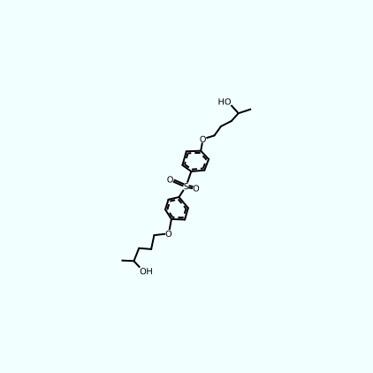 CC(O)CCCOc1ccc(S(=O)(=O)c2ccc(OCCCC(C)O)cc2)cc1